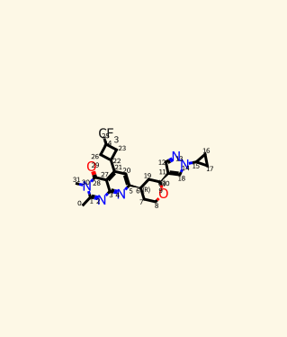 Cc1nc2nc([C@@H]3CCO[C@H](c4cnn(C5CC5)c4)C3)cc(C3CC(C(F)(F)F)C3)c2c(=O)n1C